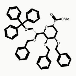 COC(=O)[C@@H]1C[C@@H](OCc2ccccc2)[C@@H](OCc2ccccc2)[C@@H]([C@@H](COC(c2ccccc2)(c2ccccc2)c2ccccc2)OCc2ccccc2)O1